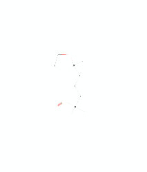 CC1(CCCC(F)(F)[S]=O)OCCO1